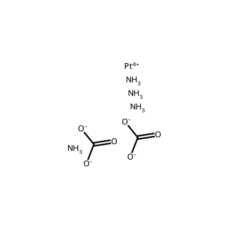 N.N.N.N.O=C([O-])[O-].O=C([O-])[O-].[Pt+4]